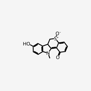 CN1C2=C3C(=O)C=CC=C3[S+]([O-])CC2c2cc(O)ccc21